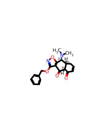 CN(C)[C@@H]1c2onc(OCc3ccccc3)c2C(=O)[C@H]2C(=O)C=CC[C@H]21